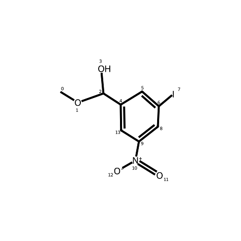 COC(O)c1cc(I)cc([N+](=O)[O-])c1